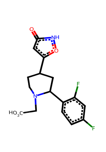 O=C(O)CN1CCC(c2cc(=O)[nH]o2)CC1c1ccc(F)cc1F